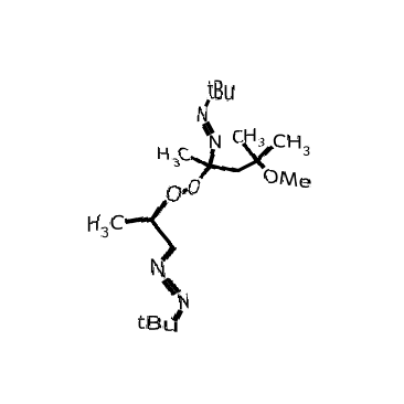 COC(C)(C)CC(C)(N=NC(C)(C)C)OOC(C)CN=NC(C)(C)C